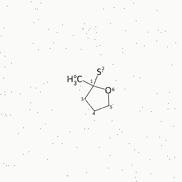 CC1([S])CCCO1